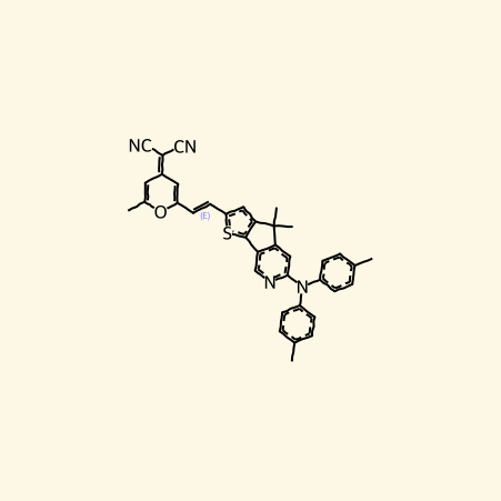 CC1=CC(=C(C#N)C#N)C=C(/C=C/c2cc3c(s2)-c2cnc(N(c4ccc(C)cc4)c4ccc(C)cc4)cc2C3(C)C)O1